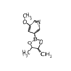 C=C1OB(c2cncc(OC)c2)OC1C